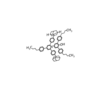 CCCCc1ccc(-c2cc(-c3ccc(C45CC6CC(CC(C6)C4)C5)cc3)[n+](-c3cc(-c4ccc(CCCC)cc4)c(O)c(-c4ccc(CCCC)cc4)c3)c(-c3ccc(C45CC6C[C@H](C4)C[C@H](C6)C5)cc3)c2)cc1